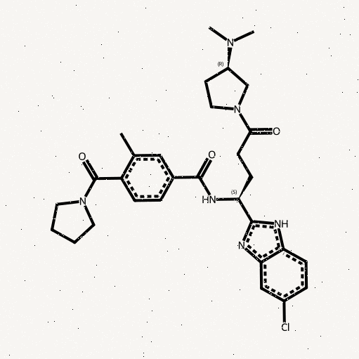 Cc1cc(C(=O)N[C@@H](CCC(=O)N2CC[C@@H](N(C)C)C2)c2nc3cc(Cl)ccc3[nH]2)ccc1C(=O)N1CCCC1